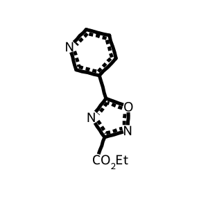 CCOC(=O)c1noc(-c2cccnc2)n1